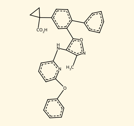 Cc1noc(-c2cc(C3(C(=O)O)CC3)ccc2-c2ccccc2)c1Nc1cccc(Oc2ccccc2)n1